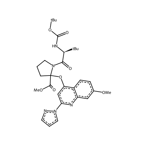 COC(=O)C1(Oc2cc(-n3cccn3)nc3cc(OC)ccc23)CCCN1C(=O)[C@@H](NC(=O)OC(C)(C)C)C(C)(C)C